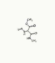 CNC(=O)C(NN=S)C(=O)OC